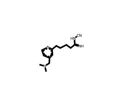 CN(C)Cc1ccnc(CCCCC(=N)NC#N)c1